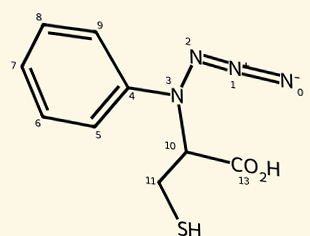 [N-]=[N+]=NN(c1ccccc1)C(CS)C(=O)O